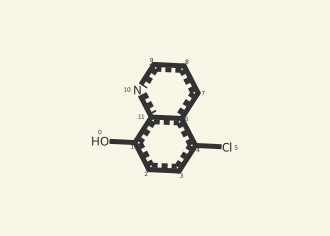 Oc1ccc(Cl)c2cc[c]nc12